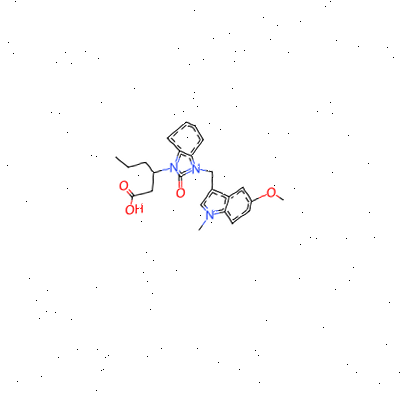 CCCC(CC(=O)O)n1c(=O)n(Cc2cn(C)c3ccc(OC)cc23)c2ccccc21